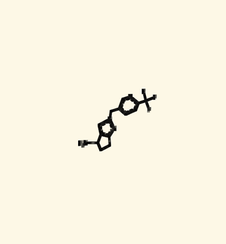 NC1CCc2nn(Cc3ccc(C(F)(F)F)nc3)cc21